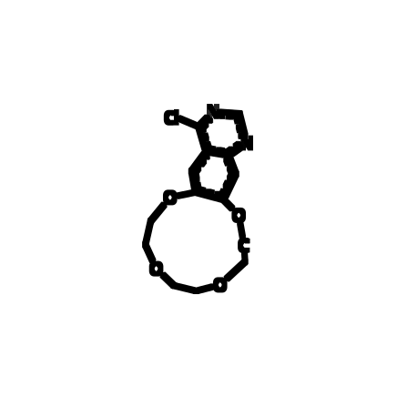 Clc1ncnc2cc3c(cc12)OCCOCCOCCO3